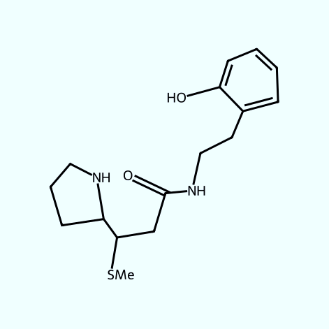 CSC(CC(=O)NCCc1ccccc1O)C1CCCN1